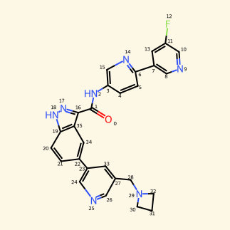 O=C(Nc1ccc(-c2cncc(F)c2)nc1)c1n[nH]c2ccc(-c3cncc(CN4CCC4)c3)cc12